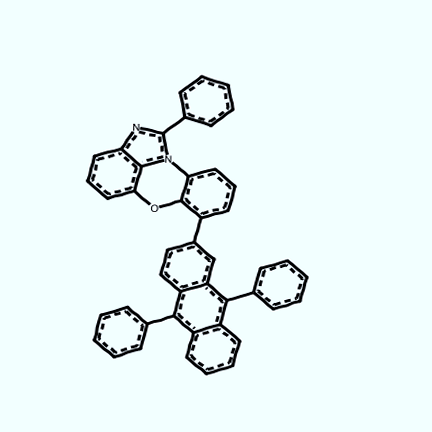 c1ccc(-c2c3ccccc3c(-c3ccccc3)c3cc(-c4cccc5c4Oc4cccc6nc(-c7ccccc7)n-5c46)ccc23)cc1